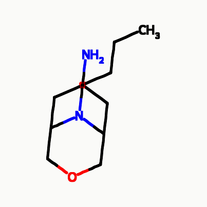 CCCCN1C2COCC1CC(N)C2